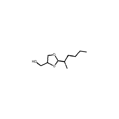 CCCCC(C)C1OCC(CO)O1